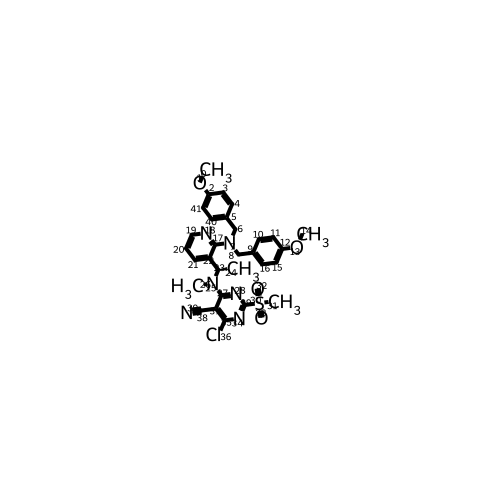 COc1ccc(CN(Cc2ccc(OC)cc2)c2ncccc2[C@@H](C)N(C)c2nc(S(C)(=O)=O)nc(Cl)c2C#N)cc1